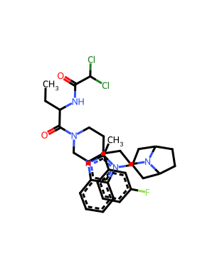 CCC(NC(=O)C(Cl)Cl)C(=O)N1CCC(CCN2C3CCC2CC(n2c(C)nc4ccccc42)C3)(c2cccc(F)c2)CC1